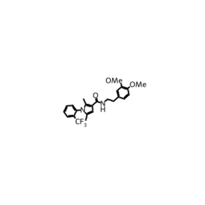 COc1ccc(CCNC(=O)c2cc(C)n(-c3ccccc3C(F)(F)F)c2C)cc1OC